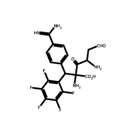 N=C(N)c1ccc(C(c2c(F)c(F)c(F)c(F)c2F)C(N)(C(=O)O)C(=O)C(N)CC=O)cc1